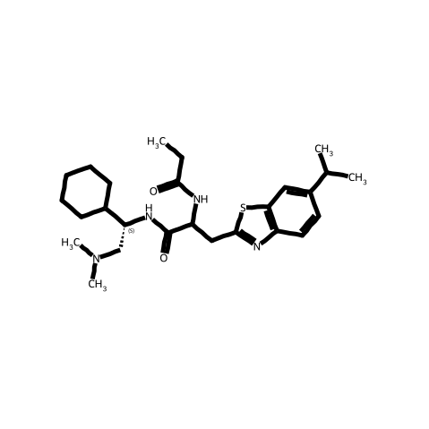 CCC(=O)NC(Cc1nc2ccc(C(C)C)cc2s1)C(=O)N[C@H](CN(C)C)C1CCCCC1